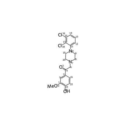 COc1cc(C(=O)CN2CCN(c3cccc(Cl)c3Cl)CC2)ccc1O